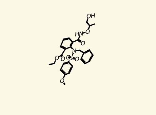 CCOC(=O)c1cccc(C(=O)NOC(C)CO)c1N(Cc1ccccc1)S(=O)(=O)c1ccc(OC)cc1